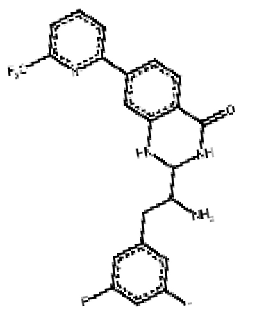 NC(Cc1cc(F)cc(F)c1)C1NC(=O)c2ccc(-c3cccc(C(F)(F)F)n3)cc2N1